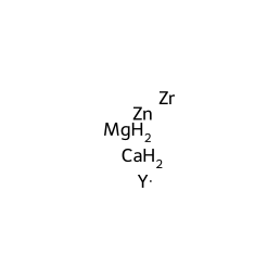 [CaH2].[MgH2].[Y].[Zn].[Zr]